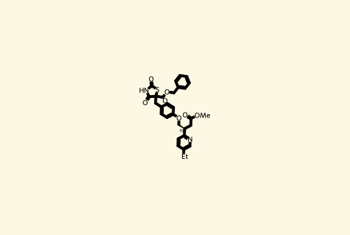 CCc1ccc([C@@H](COc2ccc(CC3(C(=O)OCc4ccccc4)SC(=O)NC3=O)cc2)CC(=O)OC)nc1